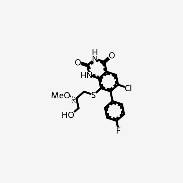 CO[C@@H](CO)CSc1c(-c2ccc(F)cc2)c(Cl)cc2c(=O)[nH]c(=O)[nH]c12